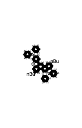 CCCCc1ccc2c(N(c3ccccc3)c3ccccc3)cc3c4cc(CCCC)cc5c4c(cc3c2c1)-c1ccc(N(c2ccccc2)c2ccccc2)cc1O5